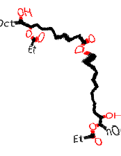 CCCCCCCCC(O)C(CCCCCCCC(=O)OCCCCCCCCC(O)C(CCCCCCCC)OC(=O)CC)OC(=O)CC